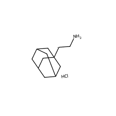 Cl.NC[CH]C12CC3CC(CC(C3)C1)C2